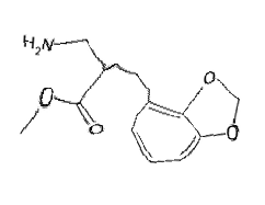 COC(=O)C(CN)Cc1cccc2c1OCO2